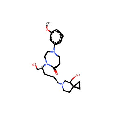 O=C1CCN(c2cccc(OC(F)(F)F)c2)CCN1[C@H](CO)CCCN1CCC2(CC2)C(O)C1